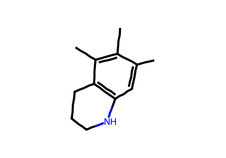 Cc1cc2c(c(C)c1C)CCCN2